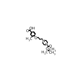 Cc1cc(C(=O)O)ccc1OCCCN1CCN(C(=O)OC(C)(C)C)CC1